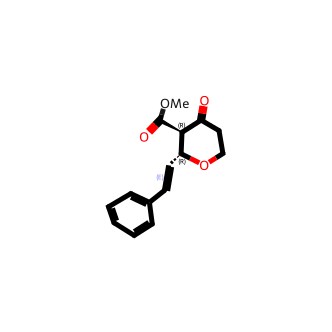 COC(=O)[C@H]1C(=O)CCO[C@@H]1/C=C/c1ccccc1